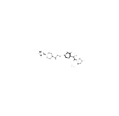 CC(C)c1noc(N2CCC(C(C)CCOc3ccc(C(N)C(=O)N4CCCC4C#N)c(F)c3)CC2)n1